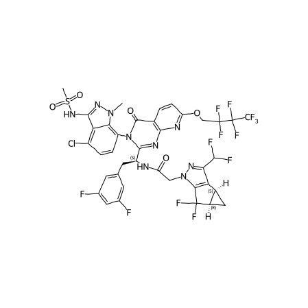 Cn1nc(NS(C)(=O)=O)c2c(Cl)ccc(-n3c([C@H](Cc4cc(F)cc(F)c4)NC(=O)Cn4nc(C(F)F)c5c4C(F)(F)[C@@H]4C[C@H]54)nc4nc(OCC(F)(F)C(F)(F)C(F)(F)F)ccc4c3=O)c21